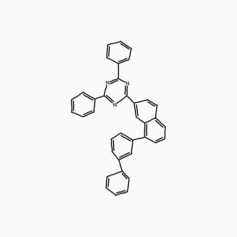 c1ccc(-c2cccc(-c3cccc4ccc(-c5nc(-c6ccccc6)nc(-c6ccccc6)n5)cc34)c2)cc1